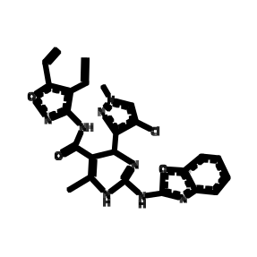 C=Cc1onc(NC(=O)C2=C(C)NC(Nc3nc4ccccc4o3)=NC2c2nn(C)cc2Cl)c1C=C